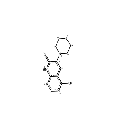 O=c1[nH]c2ncnc(Cl)c2cc1N1CCSCC1